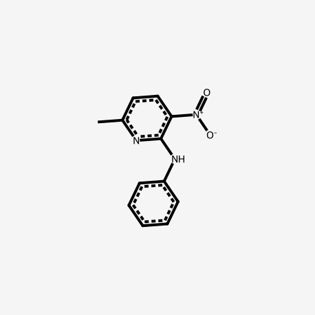 Cc1ccc([N+](=O)[O-])c(Nc2ccccc2)n1